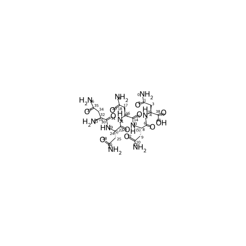 NC(=O)C[C@H](NC(=O)[C@H](CC(N)=O)NC(=O)[C@H](CC(N)=O)NC(=O)[C@H](CC(N)=O)NC(=O)[C@@H](N)CC(N)=O)C(=O)O